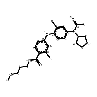 COCCCNC(=O)c1ccc(Oc2ccc(N(C(C)=O)C3CCCC3)cc2C)cc1C